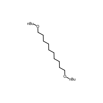 CCCCOCCCCCCCCCCOCCCC